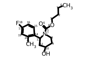 CCCCOC(=O)N1CCC(O)CC1c1ccc(F)cc1C